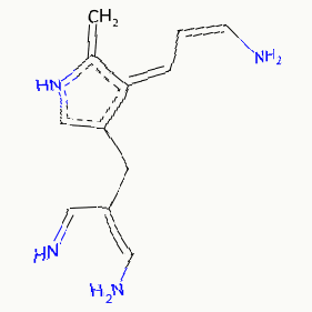 C=c1[nH]cc(C/C(C=N)=C/N)/c1=C/C=C\N